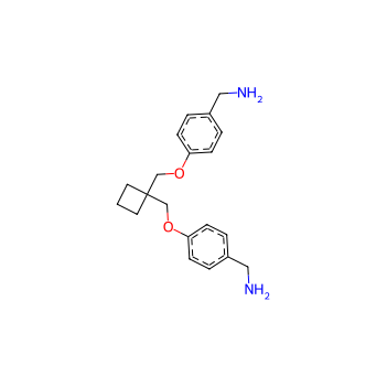 NCc1ccc(OCC2(COc3ccc(CN)cc3)CCC2)cc1